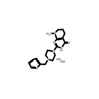 CN1CCCc2c1nc(N1CCN(Cc3ccccn3)CC1)[nH]c2=O.Cl.Cl